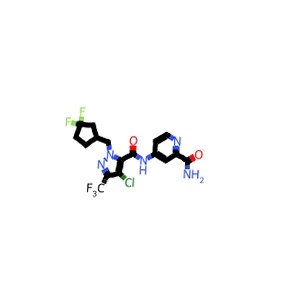 NC(=O)c1cc(NC(=O)c2c(Cl)c(C(F)(F)F)nn2CC2CCC(F)(F)C2)ccn1